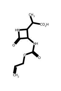 C=CCOC(=O)NC1C(=O)NC1C(C)C(=O)O